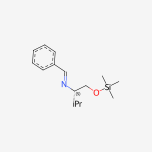 CC(C)[C@@H](CO[Si](C)(C)C)N=Cc1ccccc1